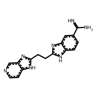 N=C(N)c1ccc2[nH]c(CCc3nc4cnccc4[nH]3)nc2c1